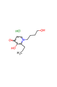 CCc1c(O)c(=O)ccn1CCCCO.Cl